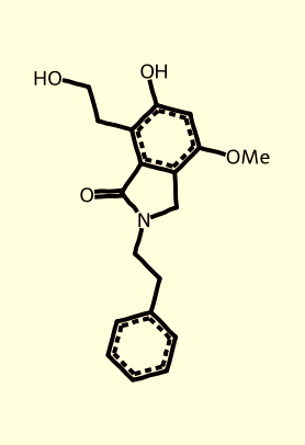 COc1cc(O)c(CCO)c2c1CN(CCc1ccccc1)C2=O